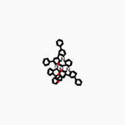 c1ccc(-c2ccc3c(c2)c2cc(-c4ccccc4)ccc2n3-c2cccc(-n3c4ccc(-c5ccccc5)cc4c4cc(-c5ccccc5)ccc43)c2-c2cnc3c4ccccc4c4ccccc4c3n2)cc1